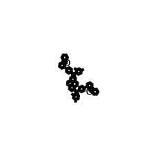 Cc1ccc(N(c2ccc(-c3cccc4c3oc3ccccc34)cc2)c2cc3ccc4ccc(N(c5ccc(-c6cccc7c6oc6ccccc67)cc5)c5ccc(C)cc5C)c5ccc(c2)c3c45)c(C)c1